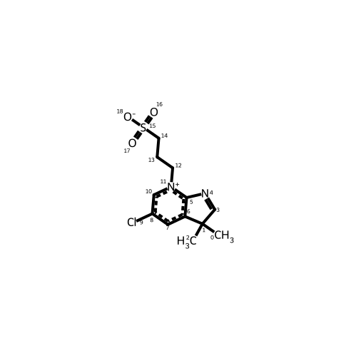 CC1(C)C=Nc2c1cc(Cl)c[n+]2CCCS(=O)(=O)[O-]